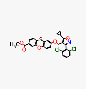 COC(=O)c1ccc2c(c1)Oc1ccc(OCc3c(-c4c(Cl)cccc4Cl)noc3C3CC3)cc1S2